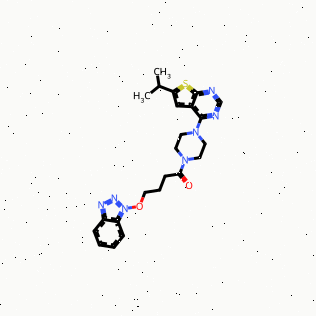 CC(C)c1cc2c(N3CCN(C(=O)CCCOn4nnc5ccccc54)CC3)ncnc2s1